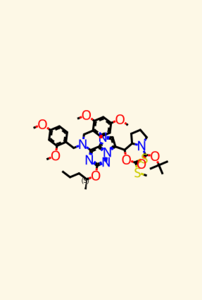 CCC[C@H](C)Oc1nc(N(Cc2ccc(OC)cc2OC)Cc2ccc(OC)cc2OC)c2ncc(C(OC(=S)SC)C3CCCN3C(=O)OC(C)(C)C)n2n1